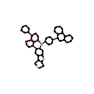 c1ccc(-c2ccc(N(c3ccc(-c4cc5ccccc5c5ccccc45)cc3)c3cc4sc5ccccc5c4cc3-c3ccccc3)cc2)cc1